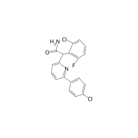 NC(=O)C(c1cccc(-c2ccc(Cl)cc2)n1)c1c(F)cccc1Cl